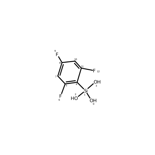 O[Si](O)(O)c1c(F)cc(F)cc1F